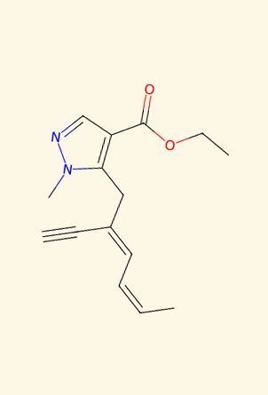 C#C/C(=C\C=C/C)Cc1c(C(=O)OCC)cnn1C